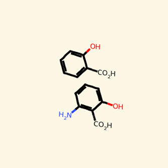 Nc1cccc(O)c1C(=O)O.O=C(O)c1ccccc1O